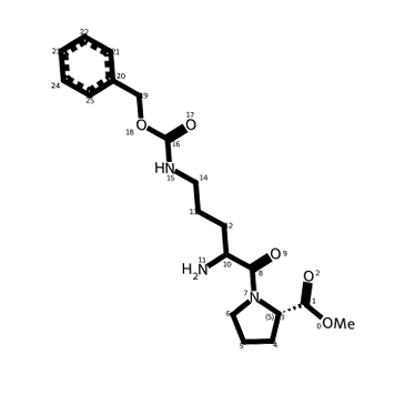 COC(=O)[C@@H]1CCCN1C(=O)C(N)CCCNC(=O)OCc1ccccc1